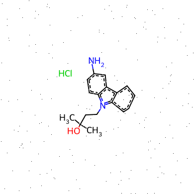 CC(C)(O)CCn1c2ccccc2c2cc(N)ccc21.Cl